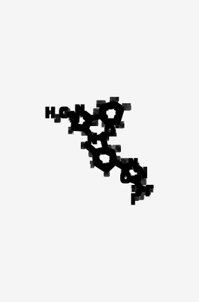 Cn1cc(N2Cc3ccc(-c4nnc(C(F)F)o4)cc3C2=O)c(-c2ccccc2)n1